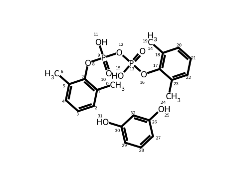 Cc1cccc(C)c1OP(=O)(O)OP(=O)(O)Oc1c(C)cccc1C.Oc1cccc(O)c1